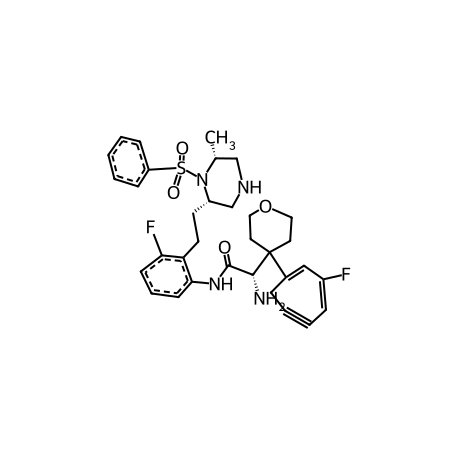 C[C@@H]1CNC[C@H](CCc2c(F)cccc2NC(=O)[C@@H](N)C2(C3=CC(F)=CC#CC3)CCOCC2)N1S(=O)(=O)c1ccccc1